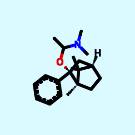 CC(O[C@]1(c2ccccc2)C[C@H]2CC[C@]1(C)C2(C)C)N(C)C